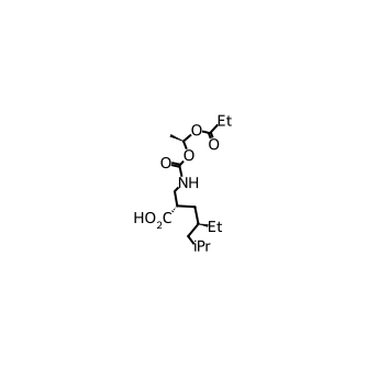 CCC(=O)O[C@H](C)OC(=O)NC[C@H](C[C@@H](CC)CC(C)C)C(=O)O